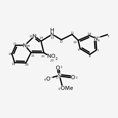 COS(=O)(=O)[O-].C[n+]1cccc(CCNc2nn3ccccc3c2[N+](=O)[O-])c1